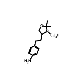 CC1(C)OCC(CCc2ccc(N)cc2)N1C(=O)O